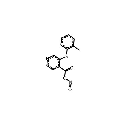 Cc1cccnc1Sc1cnccc1C(=O)ON=O